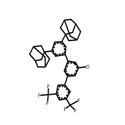 FC(F)(F)c1cc(-c2cc(Cl)cc(-c3cc(C45CC6CC(CC(C6)C4)C5)cc(C45CC6CC(CC(C6)C4)C5)c3)c2)cc(C(F)(F)F)c1